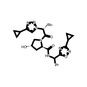 CC(C)C(NC(=O)[C@H]1C[C@H](O)CN1C(=O)[C@H](n1cc(C2CC2)nn1)C(C)(C)C)c1nc(C2CC2)no1